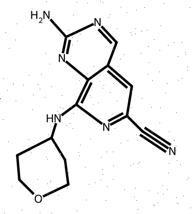 N#Cc1cc2cnc(N)nc2c(NC2CCOCC2)n1